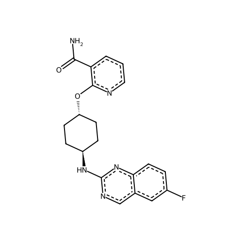 NC(=O)c1cccnc1O[C@H]1CC[C@H](Nc2ncc3cc(F)ccc3n2)CC1